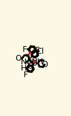 O=C1C[C@@H](c2cc(F)ccc2F)[C@]2(C(=O)Nc3cc(Cl)ccc32)[C@@H](c2cc(F)ccc2OC2CCOCC2)N1